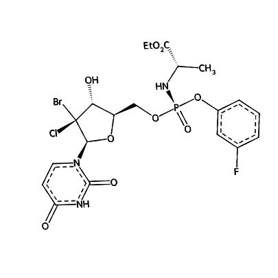 CCOC(=O)[C@H](C)N[P@@](=O)(OC[C@H]1O[C@@H](n2ccc(=O)[nH]c2=O)[C@](Cl)(Br)[C@@H]1O)Oc1cccc(F)c1